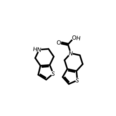 O=C(O)N1CCc2sccc2C1.c1cc2c(s1)CCNC2